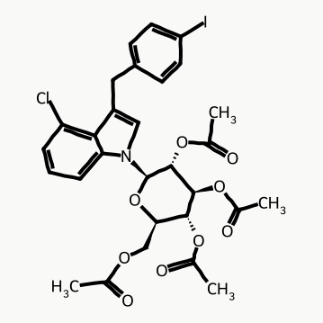 CC(=O)OC[C@H]1O[C@@H](n2cc(Cc3ccc(I)cc3)c3c(Cl)cccc32)[C@H](OC(C)=O)[C@@H](OC(C)=O)[C@@H]1OC(C)=O